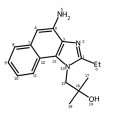 CCc1nc2c(N)cc3ccccc3c2n1CC(C)(C)O